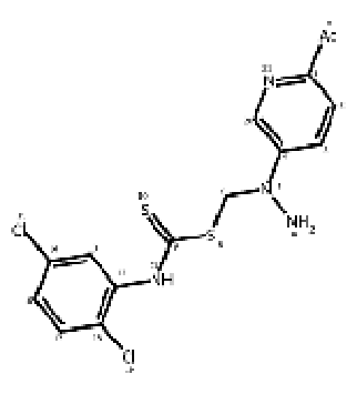 CC(=O)c1ccc(N(N)CSC(=S)Nc2cc(Cl)ccc2Cl)cn1